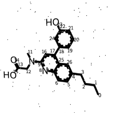 CCCCc1ccc2nc(N(C)CC(=O)O)cc(-c3cccc(O)c3)c2c1